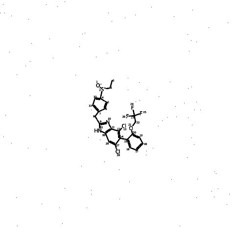 CC[S+]([O-])c1ccc(Cc2nc3c(Cl)c(-c4ccccc4OCC(F)(F)F)c(Cl)cc3[nH]2)cc1